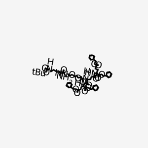 CC(C)(C)OC(=O)NCCCCC(N)C(=O)NCCOCCOCC(=O)NC(CCC(=O)NC(CCC(=O)OCc1ccccc1)C(=O)OCc1ccccc1)C(=O)NC(CCC(=O)OCc1ccccc1)C(=O)OCc1ccccc1